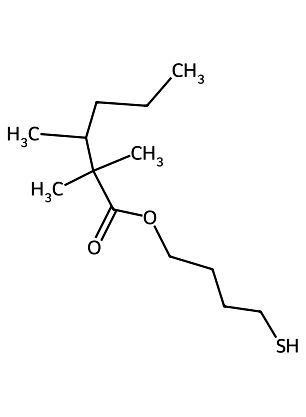 CCCC(C)C(C)(C)C(=O)OCCCCS